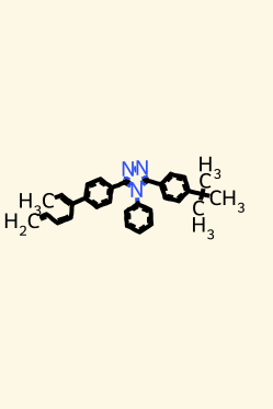 C=C/C=C\C(=C/C)c1ccc(-c2nnc(-c3ccc(C(C)(C)C)cc3)n2-c2ccccc2)cc1